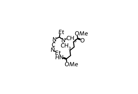 CCN=C=NC(CC)N(C)C.COC(=N)CCCCC(=O)OC